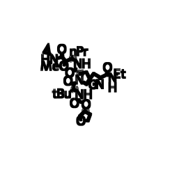 CCC[C@H](NC(=O)[C@@H]1CC2(CC(C(=O)NCC)=NO2)CN1C(=O)[C@@H](NC(=O)O[C@H]1CCOC1)C(C)(C)C)C(OC)C(=O)NC1CC1